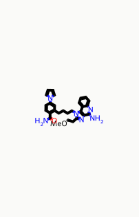 COCCc1nc2c(N)nc3ccccc3c2n1CCCCc1cc(-n2cccc2)ccc1C(N)=O